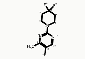 Cc1nc(N2CCC(F)(F)CC2)ncc1F